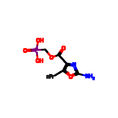 CCCc1oc(N)nc1C(=O)OCP(=O)(O)O